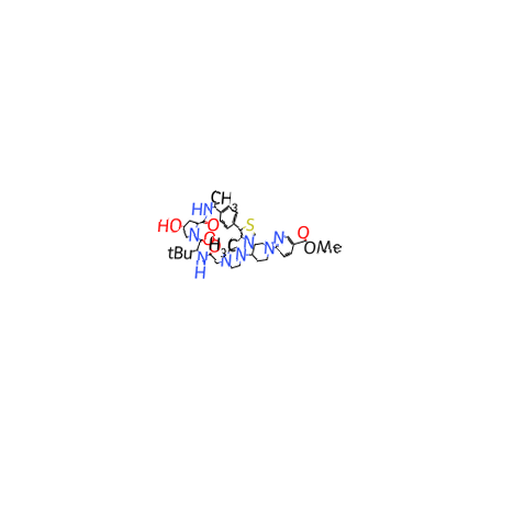 COC(=O)c1ccc(N2CCC(N3CCN(CC(=O)N[C@H](C(=O)N4C[C@H](O)C[C@H]4C(=O)N[C@@H](C)c4ccc(-c5scnc5C)cc4)C(C)(C)C)CC3)CC2)nc1